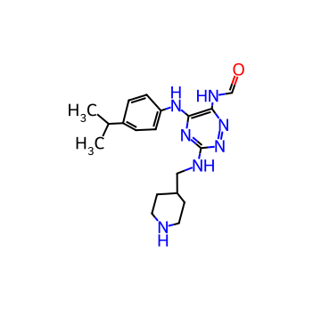 CC(C)c1ccc(Nc2nc(NCC3CCNCC3)nnc2NC=O)cc1